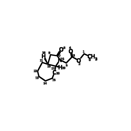 CCOC(=O)CN1C(=O)C[C@H]2CCCCCC[C@H]21